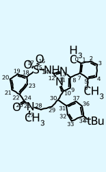 Cc1cccc(C)c1-c1cc2nc(n1)NS(=O)(=O)c1cccc(c1)C(=O)N(C)CCC2c1ccc(C(C)(C)C)cc1